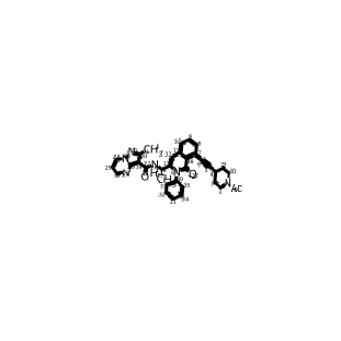 CC(=O)N1CCC(C#Cc2cccc3cc([C@H](C)NC(=O)c4c(C)nn5cccnc45)n(-c4ccccc4)c(=O)c23)CC1